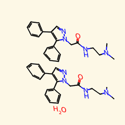 CN(C)CCNC(=O)Cn1ncc(-c2ccccc2)c1-c1ccccc1.CN(C)CCNC(=O)Cn1ncc(-c2ccccc2)c1-c1ccccc1.O